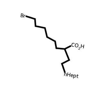 CCCCCCCCCC(CCCCCCBr)C(=O)O